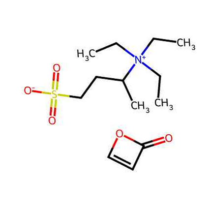 CC[N+](CC)(CC)C(C)CCS(=O)(=O)[O-].O=C1C=CO1